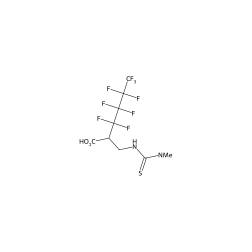 CNC(=S)NCC(C(=O)O)C(F)(F)C(F)(F)C(F)(F)C(F)(F)F